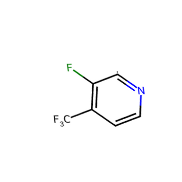 Fc1[c]nccc1C(F)(F)F